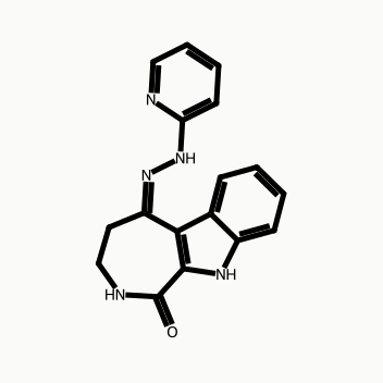 O=C1NCC/C(=N/Nc2ccccn2)c2c1[nH]c1ccccc21